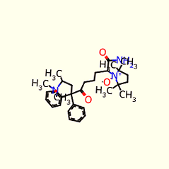 CC(CC(C(=O)CCCC(C(N)=O)[N+]1([O])C(C)(C)CCC1(C)C)(c1ccccc1)c1ccccc1)N(C)C